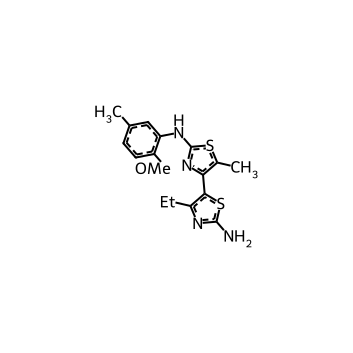 CCc1nc(N)sc1-c1nc(Nc2cc(C)ccc2OC)sc1C